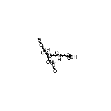 COCCOCCNC(=O)OCC(COC(=O)NCOCCOC)OCCCC(=O)NCCCCOP(C)(=O)O